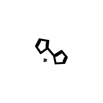 C1=CCC(C2=CC=CC2)=C1.[Zr]